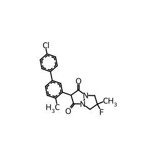 Cc1ccc(-c2ccc(Cl)cc2)cc1C1C(=O)N2CC(C)(F)CN2C1=O